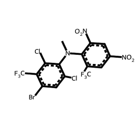 CN(c1c([N+](=O)[O-])cc([N+](=O)[O-])cc1C(F)(F)F)c1c(Cl)cc(Br)c(C(F)(F)F)c1Cl